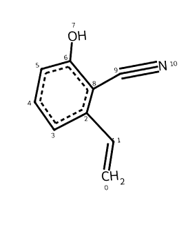 C=[C]c1cccc(O)c1C#N